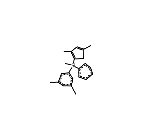 CC1=CC(C)=C([Si](C)(c2ccccc2)c2cc(C)cc(C)c2)C1